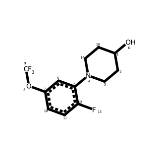 OC1CCN(c2cc(OC(F)(F)F)ccc2F)CC1